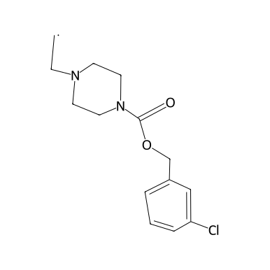 [CH2]CN1CCN(C(=O)OCc2cccc(Cl)c2)CC1